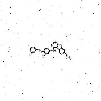 C=Cc1ccc2c(c1)sc1ncnc(Nc3ccc(OCc4cccc(F)c4)c(Cl)c3)c12